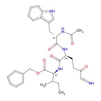 CCC(C)[C@H](NC(=O)[C@H](CCC(=O)C=N)NC(=O)[C@H](Cc1c[nH]c2ccccc12)NC(C)=O)C(=O)OCc1ccccc1